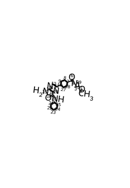 COC1CN(C(=O)c2ccc(-c3cnc(N)c(C(=O)Nc4ccccc4)n3)cc2)C1